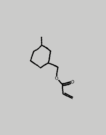 C=CC(=O)OCC1CCCC(C)C1